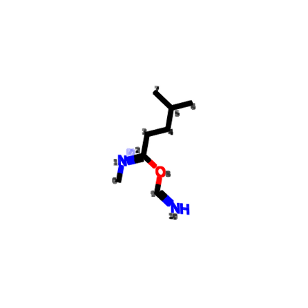 C/N=C(/CCC(C)C)OC=N